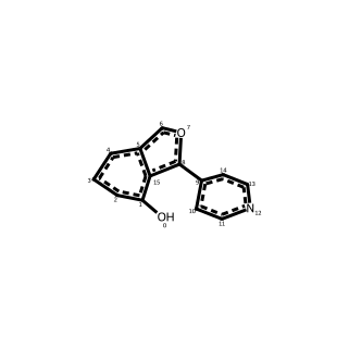 Oc1cccc2coc(-c3ccncc3)c12